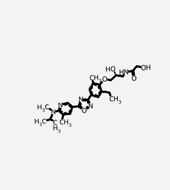 CCc1cc(-c2noc(-c3cnc(N(C)C(C)C)c(C)c3)n2)cc(C)c1OC[C@@H](O)CNC(=O)CO